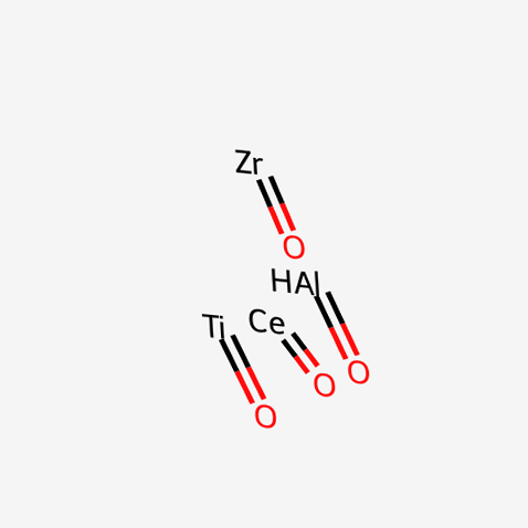 [O]=[AlH].[O]=[Ce].[O]=[Ti].[O]=[Zr]